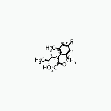 C=CCN(C(=O)C(=O)O)c1c(C)cc(F)cc1C